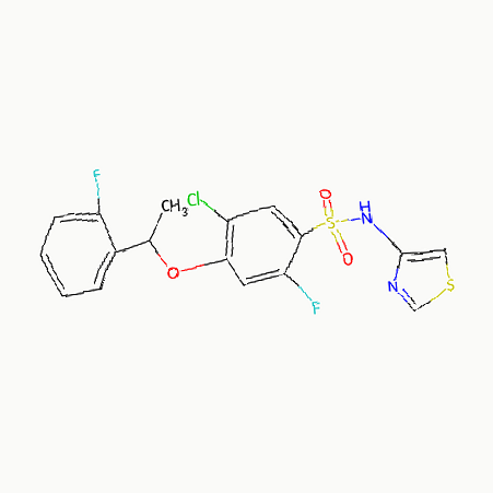 CC(Oc1cc(F)c(S(=O)(=O)Nc2cscn2)cc1Cl)c1ccccc1F